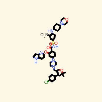 CC1(C)CC(c2ccc(Cl)cc2)=C(CN2CCN(c3ccc(C(=O)NS(=O)(=O)c4ccc(N[C@H]5CC[C@@H](N6CCOCC6)CC5)c([N+](=O)[O-])c4)c(Oc4ccc5[nH]ccc5n4)c3)CC2)CO1